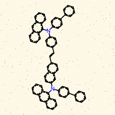 C(=C\c1ccc2cc(N(c3ccc(-c4ccccc4)cc3)c3c4ccccc4cc4ccccc34)ccc2c1)/c1ccc(N(c2ccc(-c3ccccc3)cc2)c2c3ccccc3cc3ccccc23)cc1